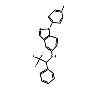 Fc1ccc(-n2ncc3cc(NC(c4ccccc4)C(F)(F)F)ccc32)cc1